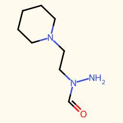 NN(C=O)CCN1CCCCC1